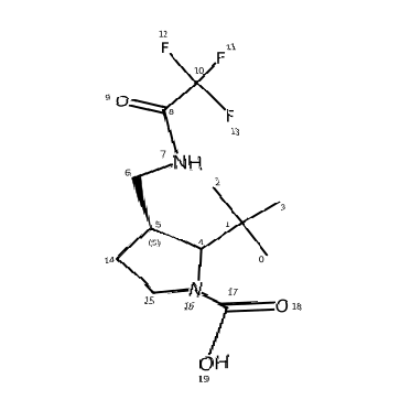 CC(C)(C)C1[C@H](CNC(=O)C(F)(F)F)CCN1C(=O)O